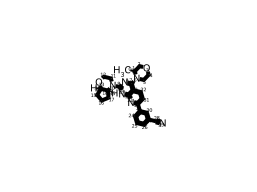 C[C@H]1COCCN1c1nc(N2CCO[C@@H]3CCC[C@@H]32)nc2nc(-c3cccc(C#N)c3)ccc12